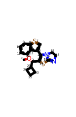 COC(C1=C(c2csc3ccccc23)N2CCN=C2S1)C1CCC1